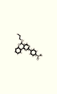 CCCOC1Oc2ccccc2-c2nc(-c3ccc([N+](=O)[O-])cc3)ncc21